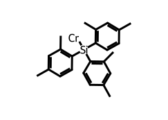 Cc1ccc([Si]([Cr])(c2ccc(C)cc2C)c2ccc(C)cc2C)c(C)c1